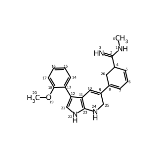 CNC(=N)C1C=CC=C(C2=Cc3c(-c4ccccc4OC)c[nH]c3NC2)C1